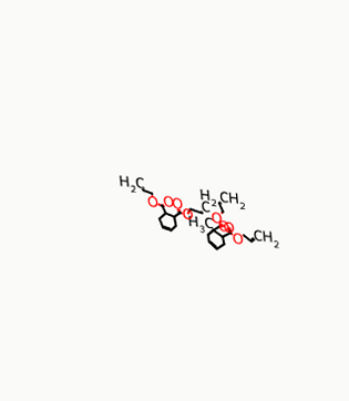 C=CCOC(=O)C1CC=CCC1(C)C(=O)OCC=C.C=CCOC(=O)C1CC=CCC1C(=O)OCC=C